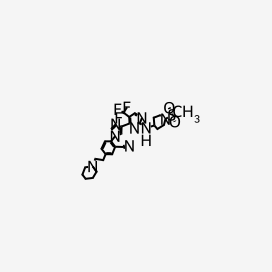 CS(=O)(=O)N1CCC(Nc2ncc(C(F)(F)F)c(-c3cn(-c4ccc(CCN5CCCCC5)cc4C#N)cn3)n2)CC1